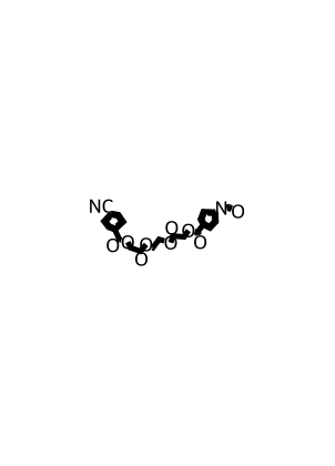 N#Cc1ccc(C(=O)OCC(=O)OCCOC(=O)COC(=O)c2ccc(N=C=O)cc2)cc1